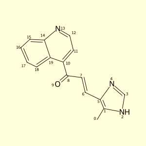 Cc1[nH]cnc1C=CC(=O)c1ccnc2ccccc12